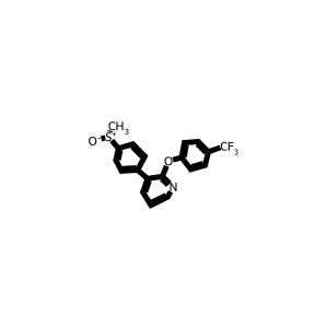 C[S+]([O-])c1ccc(-c2cccnc2Oc2ccc(C(F)(F)F)cc2)cc1